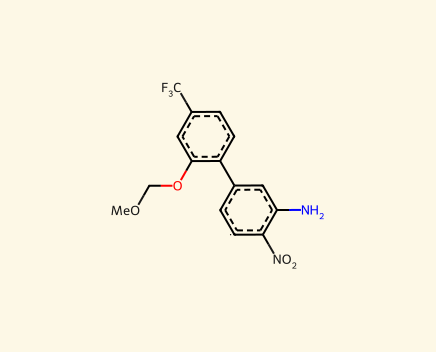 COCOc1cc(C(F)(F)F)ccc1-c1c[c]c([N+](=O)[O-])c(N)c1